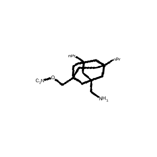 CCCC12CC3(CN)CC(CCC)(C1)CC(CO[N+](=O)[O-])(C3)C2